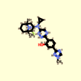 Cn1cnc(-c2ccc(-c3ncc(N(C4CC4)[C@@H]4C[C@H]5CCC[C@](C)(N5)[C@@H]4F)nn3)c(O)c2)n1